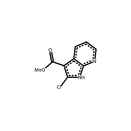 COC(=O)c1c(Cl)[nH]c2ncccc12